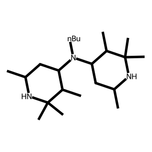 CCCCN(C1CC(C)NC(C)(C)C1C)C1CC(C)NC(C)(C)C1C